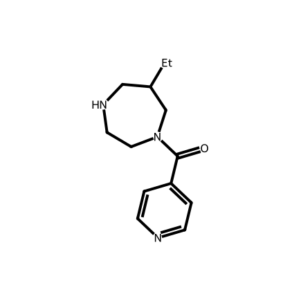 CCC1CNCCN(C(=O)c2ccncc2)C1